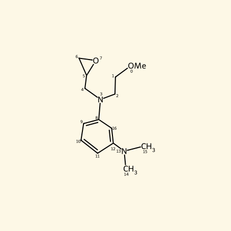 COCCN(CC1CO1)c1cccc(N(C)C)c1